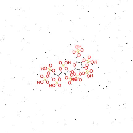 O=S(=O)(O)OC[C@H](OS(=O)(=O)O)[C@H](OS(=O)(=O)O)[C@@H](OS(=O)(=O)O)[C@H](CO[C@@H]1O[C@H](COS(=O)(=O)O)[C@@H](OS(=O)(=O)O)[C@@H](OS(=O)(=O)O)[C@@H]1OS(=O)(=O)O)OS(=O)(=O)O